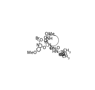 COC(=O)[C@@]12CC1/C=C\CCCCC[C@H](NC(=O)N[C@H](CN(C)S(C)(=O)=O)C(C)(C)C)C(=O)N1C[C@H](Oc3cc(C(=O)CBr)nc4cc(OC)ccc34)C[C@H]1C(=O)N2